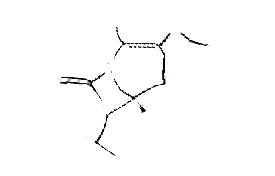 CC[C@H]1C(SC(C)C)=C(C(=O)O)N2C(=O)[C@H]([C@@H](C)O)[C@@H]12